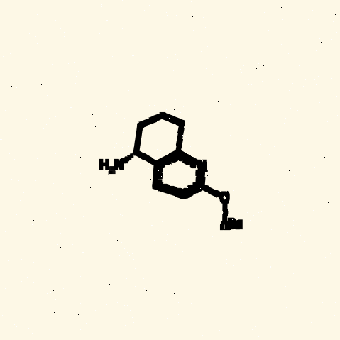 CCCCOc1ccc2c(n1)CCC[C@H]2N